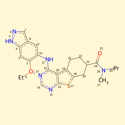 CCOc1cc2[nH]ncc2cc1Nc1ncnc2sc3c(c12)CCC(C(=O)N(C)C(C)C)C3